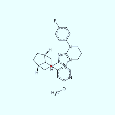 COc1cc(N2C[C@H]3CC[C@@H](C2)C3Nc2nc3n(n2)CCCN3c2ccc(F)cc2)ncn1